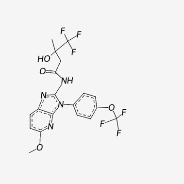 COc1ccc2nc(NC(=O)CC(C)(O)C(F)(F)F)n(-c3ccc(OC(F)(F)F)cc3)c2n1